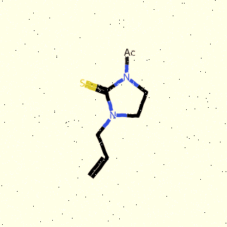 C=CCN1CCN(C(C)=O)C1=S